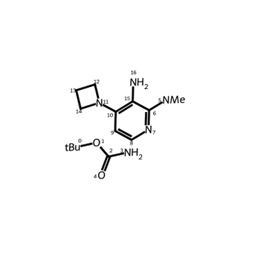 CC(C)(C)OC(N)=O.CNc1nccc(N2CCC2)c1N